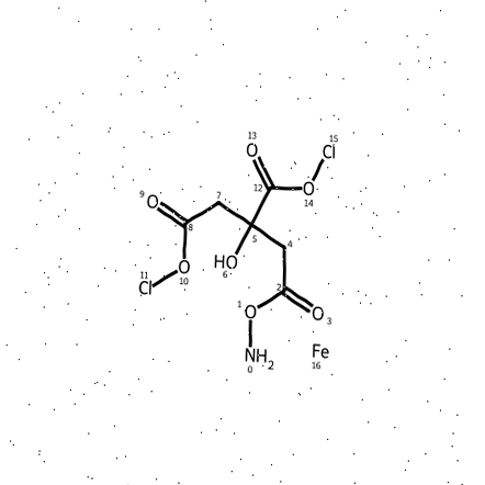 NOC(=O)CC(O)(CC(=O)OCl)C(=O)OCl.[Fe]